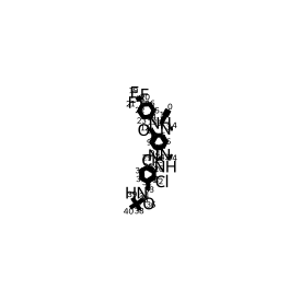 C#CCN(C)c1cc2c(cc1C(=O)N[C@H]1CC[C@H](C(F)(F)F)CC1)nc(Nc1c(Cl)ccc(CNC(=O)C(C)(C)C)c1Cl)n2C